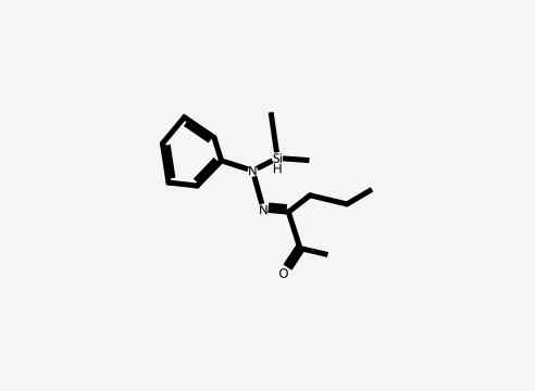 CCCC(=NN(c1ccccc1)[SiH](C)C)C(C)=O